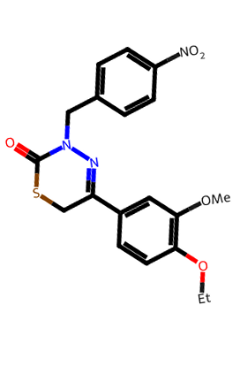 CCOc1ccc(C2=NN(Cc3ccc([N+](=O)[O-])cc3)C(=O)SC2)cc1OC